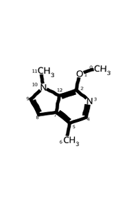 COc1ncc(C)c2ccn(C)c12